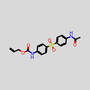 C=CCOC(=O)Nc1ccc(S(=O)(=O)c2ccc(NC(C)=O)cc2)cc1